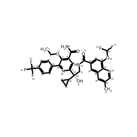 CCOc1c(C(N)=O)cc([C@@](O)(CNC(=O)c2cc(OC(F)F)c3ncc(C)cc3c2)C2CC2)nc1-c1ccc(C(F)(F)F)cc1